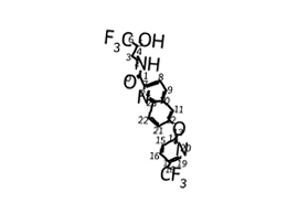 O=C(NCC(O)C(F)(F)F)c1ccc2cc(Oc3ccc(C(F)(F)F)cn3)ccc2n1